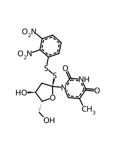 Cc1cn([C@@]2(SSc3cccc([N+](=O)[O-])c3[N+](=O)[O-])C[C@H](O)[C@@H](CO)O2)c(=O)[nH]c1=O